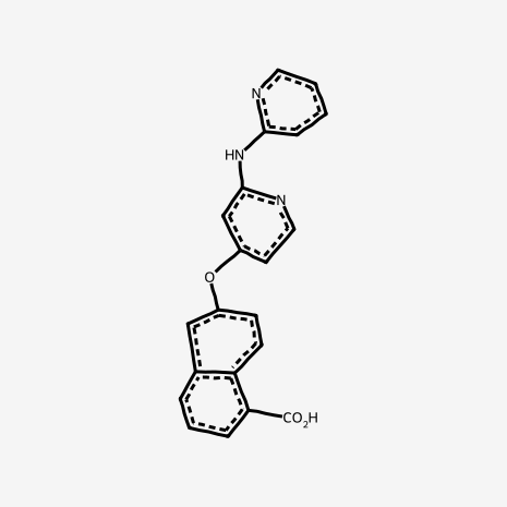 O=C(O)c1cccc2cc(Oc3ccnc(Nc4ccccn4)c3)ccc12